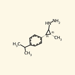 CC(C)c1ccc([C@@H]2C(NN)[C@@H]2C)cc1